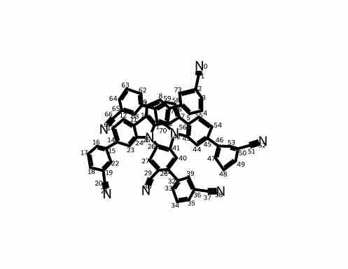 N#Cc1cccc(-c2ccc3c4ccc(-c5cccc(C#N)c5)cc4n(-c4cc(C#N)c(-c5cccc(C#N)c5)cc4-n4c5cc(-c6cccc(C#N)c6)ccc5c5ccc(-c6cccc(C#N)c6)cc54)c3c2)c1